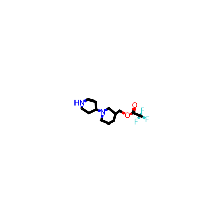 O=C(OCC1CCCN(C2CCNCC2)C1)C(F)(F)F